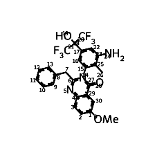 COc1ccc2nc(Cc3ccccc3)n(-c3cc(C(O)(C(F)(F)F)C(F)(F)F)cc(N)c3C)c(=O)c2c1